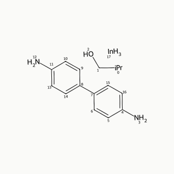 CC(C)CO.Nc1ccc(-c2ccc(N)cc2)cc1.[InH3]